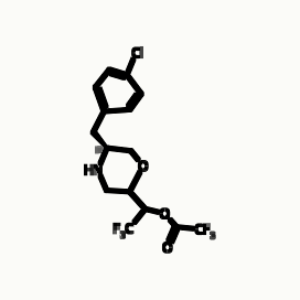 O=C(OC(C1CN[C@@H](Cc2ccc(Cl)cc2)CO1)C(F)(F)F)C(F)(F)F